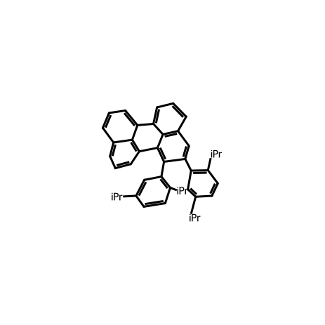 CC(C)c1ccc(C(C)C)c(-c2cc3cccc4c5cccc6cccc(c(c2-c2cc(C(C)C)ccc2C(C)C)c34)c65)c1